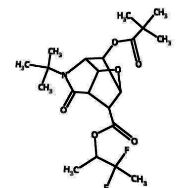 CC(OC(=O)C1C2OC3C1C(=O)N(C(C)(C)C)C3C2OC(=O)C(C)(C)C)C(C)(F)F